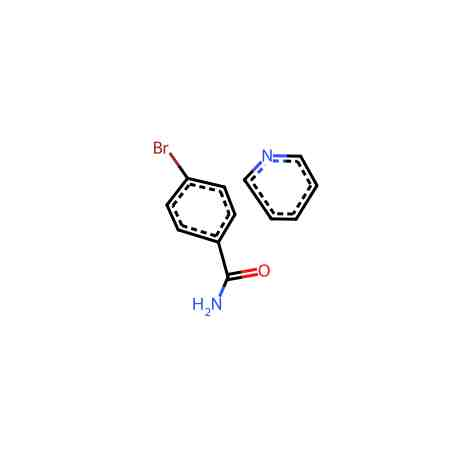 NC(=O)c1ccc(Br)cc1.c1ccncc1